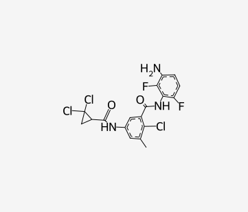 Cc1cc(NC(=O)C2CC2(Cl)Cl)cc(C(=O)Nc2c(F)ccc(N)c2F)c1Cl